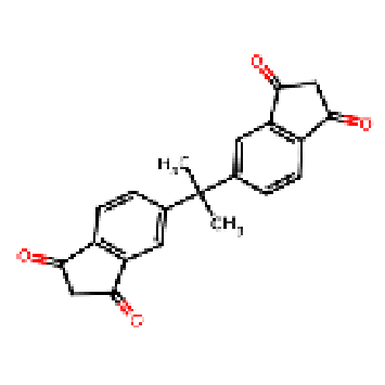 CC(C)(c1ccc2c(c1)C(=O)CC2=O)c1ccc2c(c1)C(=O)CC2=O